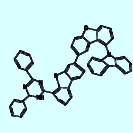 c1ccc(C2=NC(c3ccccc3)NC(c3cccc4c3sc3cc(-c5ccc6oc7cccc(-n8c9ccccc9c9ccccc98)c7c6c5)ccc34)=N2)cc1